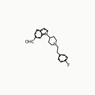 O=Cc1ccc2ccn(C3CCN(CCc4ccc(F)cc4)CC3)c2c1